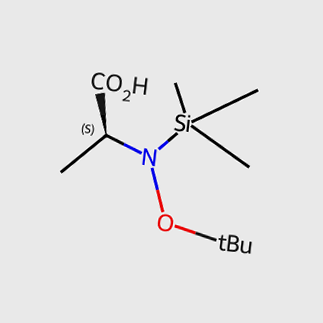 C[C@@H](C(=O)O)N(OC(C)(C)C)[Si](C)(C)C